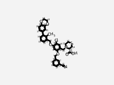 Cc1c(COc2cc(OCc3cccc(C#N)c3)c(CN3CCSC[C@@H]3C(=O)O)cc2Cl)cccc1-c1ccc2c(c1)OCCO2